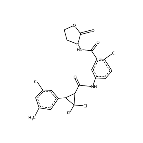 Cc1cc(Cl)cc(C2C(C(=O)Nc3ccc(Cl)c(C(=O)NN4CCOC4=O)c3)C2(Cl)Cl)c1